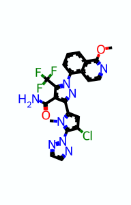 COc1nccc2c(-n3nc(-c4cc(Cl)c(-n5nccn5)n4C)c(C(N)=O)c3C(F)(F)F)cccc12